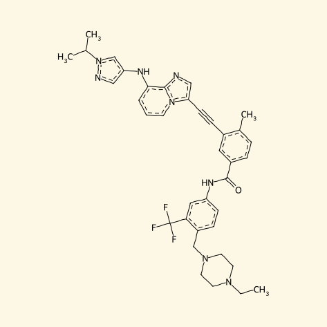 CCN1CCN(Cc2ccc(NC(=O)c3ccc(C)c(C#Cc4cnc5c(Nc6cnn(C(C)C)c6)cccn45)c3)cc2C(F)(F)F)CC1